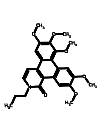 CCCn1ccc2c3cc(OC)c(OC)c(OC)c3c3cc(OC)c(OC)cc3c2c1=O